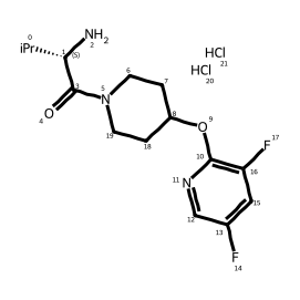 CC(C)[C@H](N)C(=O)N1CCC(Oc2ncc(F)cc2F)CC1.Cl.Cl